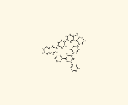 c1ccc(-c2nc(-c3ccccc3)nc(-c3ccc(-c4cccc5oc6ccc(-c7ccc(-c8ccc9ccccc9c8)cc7)cc6c45)cc3)n2)cc1